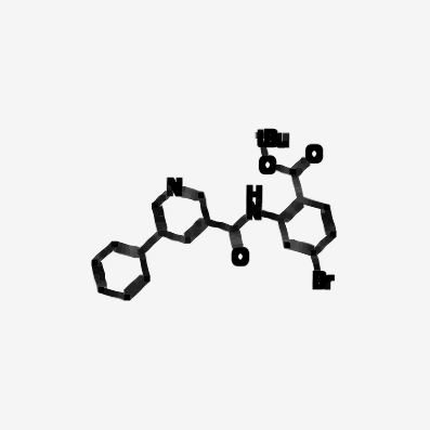 CC(C)(C)OC(=O)c1ccc(Br)cc1NC(=O)c1cncc(-c2ccccc2)c1